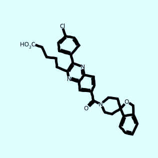 O=C(O)CCCCc1nc2cc(C(=O)N3CCC4(CC3)OCc3ccccc34)ccc2nc1-c1ccc(Cl)cc1